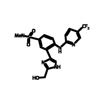 CNS(=O)(=O)c1ccc(Nc2ccc(C(F)(F)F)cn2)c(-c2c[nH]c(CO)n2)c1